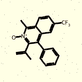 C=C(C)c1c(-c2ccccc2)c2cc(C(F)(F)F)ccc2c(C)[n+]1[O-]